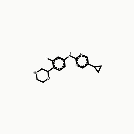 Fc1cc(Nc2ncc(C3CC3)cn2)ccc1C1CNCCO1